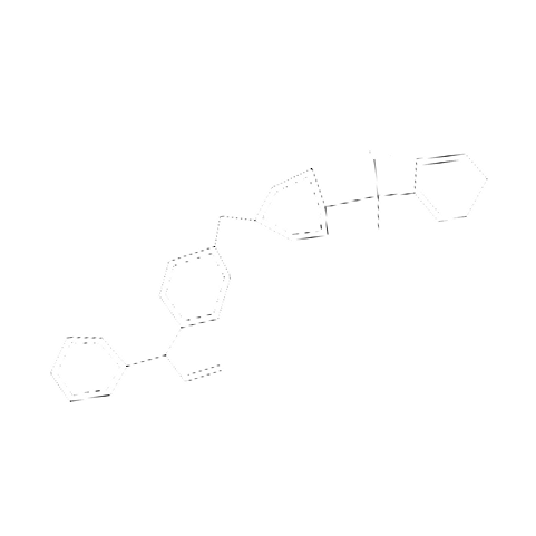 C=CC(c1ccccc1)c1ccc(Cc2ccc(C(C3=CCCC=C3)(C(F)(F)F)C(F)(F)F)cc2)cc1